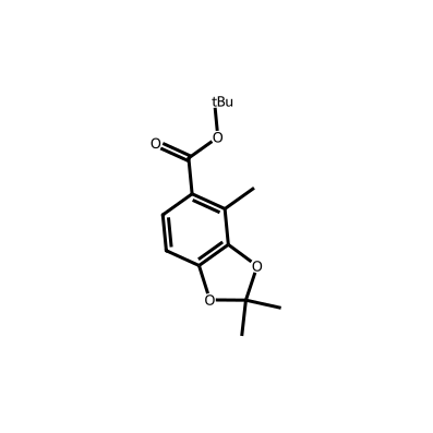 Cc1c(C(=O)OC(C)(C)C)ccc2c1OC(C)(C)O2